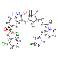 Cc1[nH]c(/C=C2\C(=O)Nc3ccc(S(=O)(=O)Cc4c(Cl)cccc4Cl)cc32)c(C)c1CCC(=O)N1CCC[C@@H]1CN1CC[C@@H](F)C1